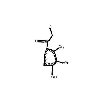 CCCc1c(O)ccc(C(=O)CI)c1O